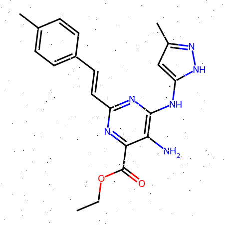 CCOC(=O)c1nc(C=Cc2ccc(C)cc2)nc(Nc2cc(C)n[nH]2)c1N